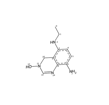 CCNc1ccc(N)c2c1CN(O)C=N2